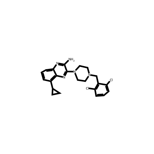 Nc1nc2cccc(C3CC3)c2nc1N1CCN(Cc2c(Cl)cccc2Cl)CC1